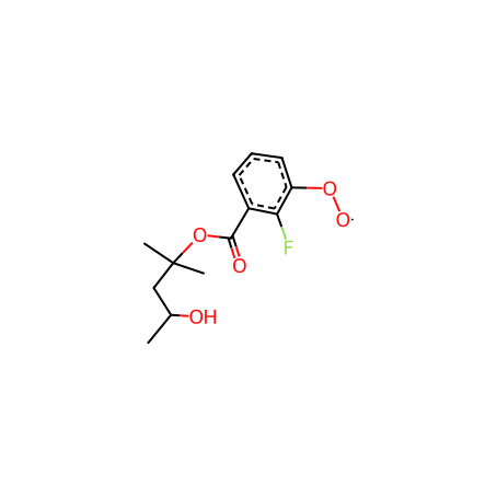 CC(O)CC(C)(C)OC(=O)c1cccc(O[O])c1F